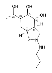 CCCNN1C[C@@H]2[C@@H](O)[C@H](O)[C@@H]([C@H](C)O)C[C@@H]2S1